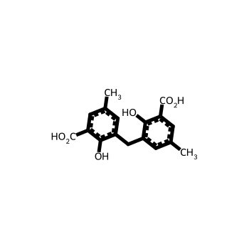 Cc1cc(Cc2cc(C)cc(C(=O)O)c2O)c(O)c(C(=O)O)c1